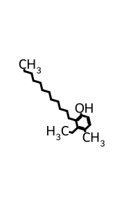 CCCCCCCCCCCCc1c(O)ccc(C)c1CC